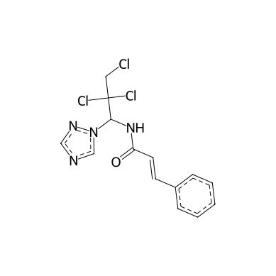 O=C(C=Cc1ccccc1)NC(n1cncn1)C(Cl)(Cl)CCl